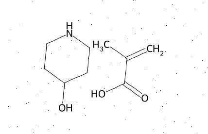 C=C(C)C(=O)O.OC1CCNCC1